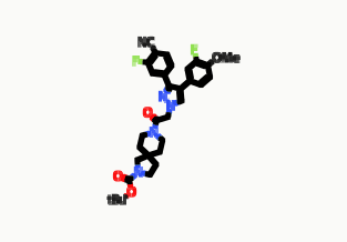 COc1ccc(-c2cn(CC(=O)N3CCC4(CC3)CCN(C(=O)OC(C)(C)C)C4)nc2-c2ccc(C#N)c(F)c2)cc1F